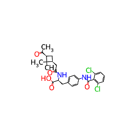 CC(=O)[C@H]1C[C@@H](CC(=O)N[C@@H](Cc2ccc(NC(=O)c3c(Cl)cccc3Cl)cc2)C(=O)O)C1(C)C